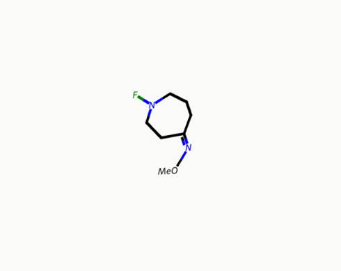 CO/N=C1/CCCN(F)CC1